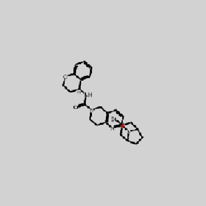 CCN1CC2CCC(C1)N2c1ccc2c(n1)CCN(C(=O)N[C@H]1CCOc3ccccc31)C2